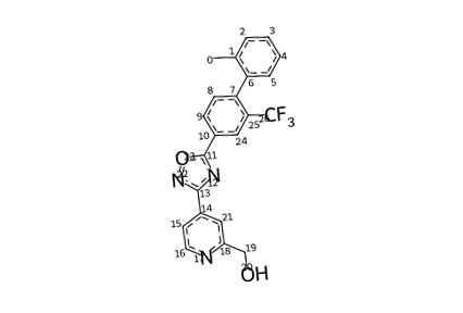 Cc1ccccc1-c1ccc(-c2nc(-c3ccnc(CO)c3)no2)cc1C(F)(F)F